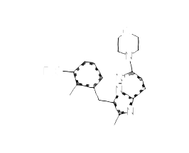 Cc1nc2ccc(N3CCOCC3)nn2c1Cc1cccc(C(F)(F)F)c1C